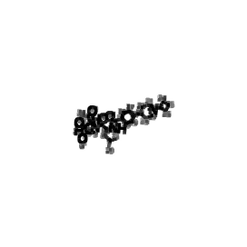 CO[C@H]1CN(C(=O)[C@H](CC(C)C)NC(=O)c2ccc(C3CCN(C4CCC4)CC3)cc2)[C@@H]2C(=O)CO[C@H]12